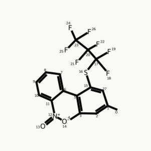 Cc1[c]c(C)c(-c2ccccc2[N+](=O)[O-])c(SC(F)(F)C(F)(F)C(F)(F)F)c1